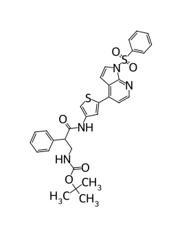 CC(C)(C)OC(=O)NCC(C(=O)Nc1csc(-c2ccnc3c2ccn3S(=O)(=O)c2ccccc2)c1)c1ccccc1